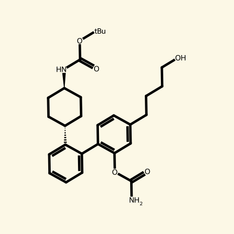 CC(C)(C)OC(=O)N[C@H]1CC[C@H](c2ccccc2-c2ccc(CCCCO)cc2OC(N)=O)CC1